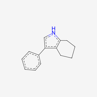 c1ccc(-c2c[nH]c3c2CCCC3)cc1